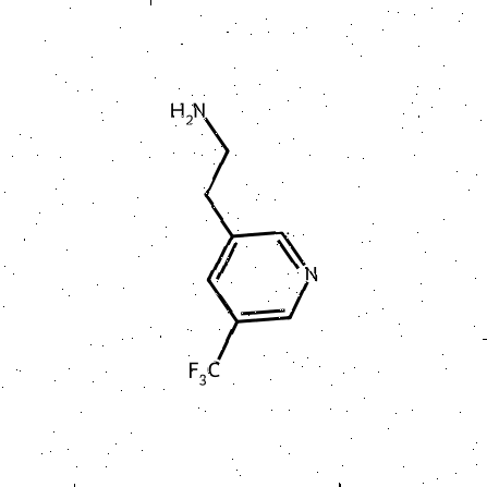 NCCc1[c]ncc(C(F)(F)F)c1